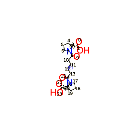 O=C(O)[C@H]1CCCN1C(=O)C/C=C/CC(=O)N1CCC[C@@H]1C(=O)O